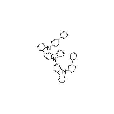 c1ccc(-c2ccc(-n3c4ccccc4c4ccc5c(c6ccccc6n5-c5ccc6c7ccccc7n(-c7cccc(-c8ccccc8)c7)c6c5)c43)cc2)cc1